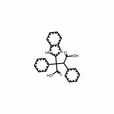 O=C(O)C(c1ccccc1)C(C(O)=S)(c1ccccc1)c1nc2ccccc2[nH]1